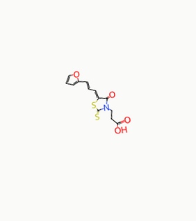 O=C(O)CCN1C(=O)C(=CC=Cc2ccco2)SC1=S